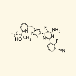 CC(C)(O)c1cccc(Cn2cc(-c3nc(-c4cccc(C#N)c4F)nc(N)c3F)nn2)n1